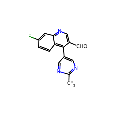 O=Cc1cnc2cc(F)ccc2c1-c1cnc(C(F)(F)F)nc1